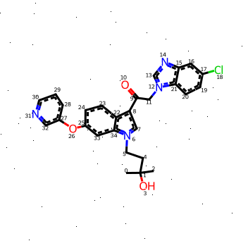 CC(C)(O)CCn1cc(C(=O)Cn2cnc3cc(Cl)ccc32)c2ccc(Oc3cccnc3)cc21